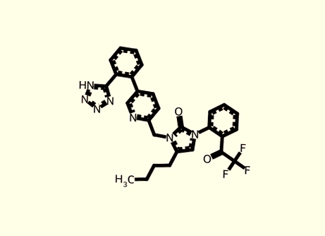 CCCCc1cn(-c2ccccc2C(=O)C(F)(F)F)c(=O)n1Cc1ccc(-c2ccccc2-c2nnn[nH]2)cn1